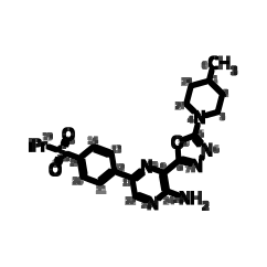 CC1CCN(c2nnc(-c3nc(-c4ccc(S(=O)(=O)C(C)C)cc4)cnc3N)o2)CC1